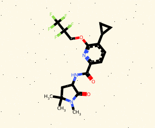 CN1C(=O)C(NC(=O)c2ccc(C3CC3)c(OCC(F)(F)C(F)(F)F)n2)CC1(C)C